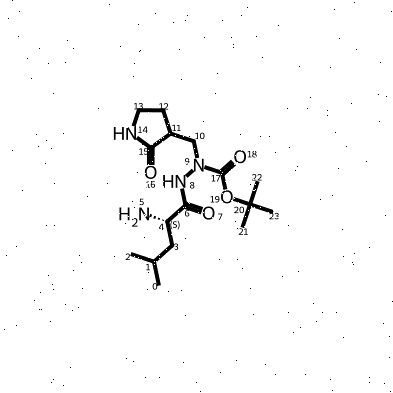 CC(C)C[C@H](N)C(=O)NN(CC1CCNC1=O)C(=O)OC(C)(C)C